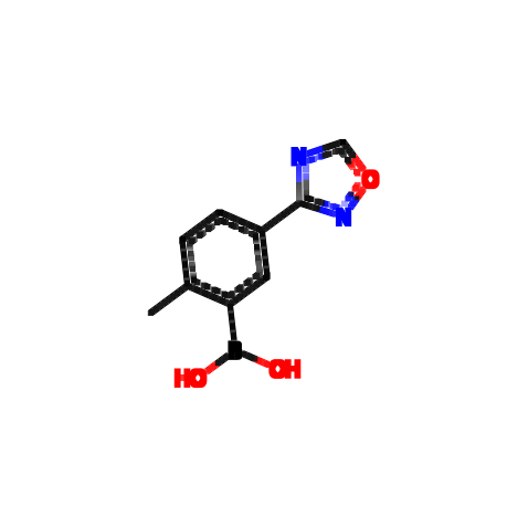 Cc1ccc(-c2ncon2)cc1B(O)O